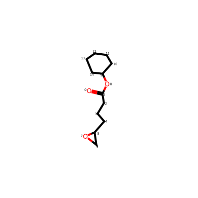 O=C(CCCC1CO1)OC1CCCCC1